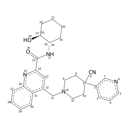 N#CC1(c2cccnc2)CCN(Cc2cc(C(=O)N[C@H]3CCCC[C@@H]3O)nc3ccccc23)CC1